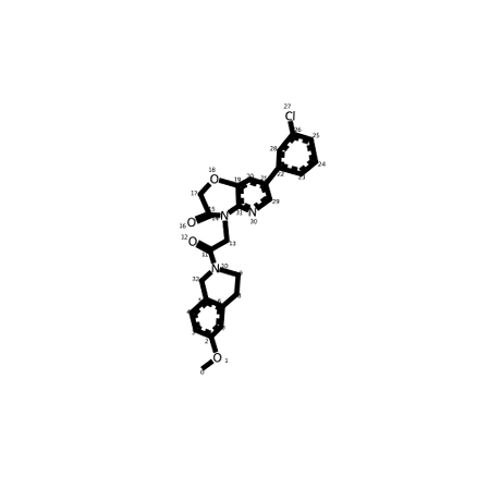 COc1ccc2c(c1)CCN(C(=O)CN1C(=O)COc3cc(-c4cccc(Cl)c4)cnc31)C2